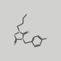 CCCCn1sc(=O)n(Cc2ccc(F)cc2)c1=O